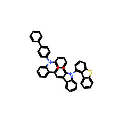 c1ccc(-c2ccc(N(c3ccccc3)c3ccccc3-c3ccc4c(c3)c3ccccc3n4-c3cccc4sc5ccccc5c34)cc2)cc1